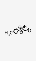 Cc1ccc(S(=O)(=O)N(CC2CO2)C(C)C)cc1